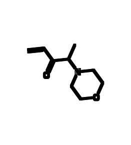 C=CC(=O)C(C)N1CCOCC1